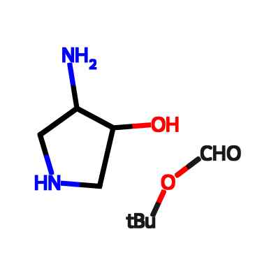 CC(C)(C)OC=O.NC1CNCC1O